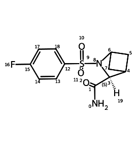 NC(=O)[C@@H]1C2CC(C2)N1S(=O)(=O)c1ccc(F)cc1